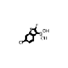 OB(O)c1c(F)sc2cc(Cl)ccc12